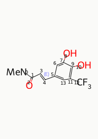 CNC(=O)/C=C/c1cc(O)c(O)c(C(F)(F)F)c1